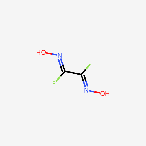 O/N=C(F)/C(F)=N/O